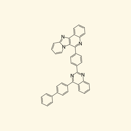 c1ccc(-c2ccc(-c3nc(-c4ccc(-c5nc6ccccc6c6nc7ccccn7c56)cc4)nc4ccccc34)cc2)cc1